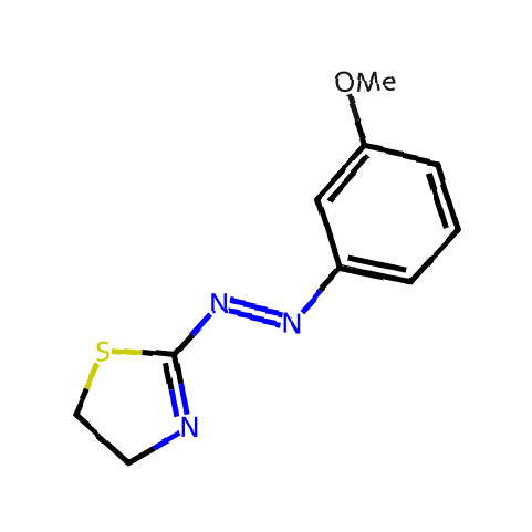 COc1cccc(N=NC2=NCCS2)c1